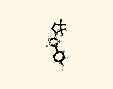 CC1(C)CC[C@H](c2nc(-c3ccc(F)cc3)no2)C1(C)C